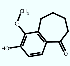 COc1c(O)ccc2c1CCCCC2=O